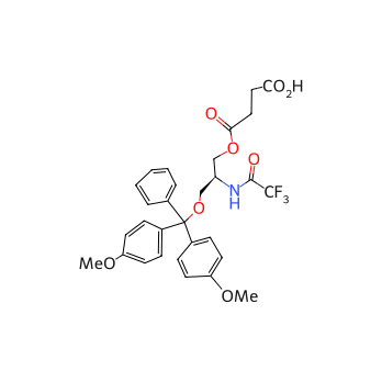 COc1ccc(C(OC[C@@H](COC(=O)CCC(=O)O)NC(=O)C(F)(F)F)(c2ccccc2)c2ccc(OC)cc2)cc1